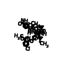 C=C[C@@H]1C[C@@]1(C(=O)NS(=O)(=O)C1CC1)N1C[C@H](Oc2ncc(OC)c3ccc(Cl)cc23)C[C@H]1C(=O)NC(=O)[C@@H](Nc1ccc(C(N)=O)cc1)C(C)(C)C